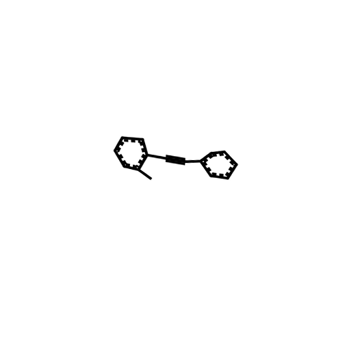 Cc1ccccc1C#Cc1ccccc1